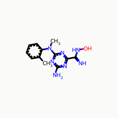 Cc1ccccc1N(C)c1nc(N)nc(C(=N)NO)n1